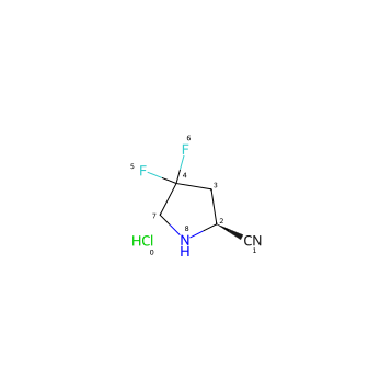 Cl.N#C[C@@H]1CC(F)(F)CN1